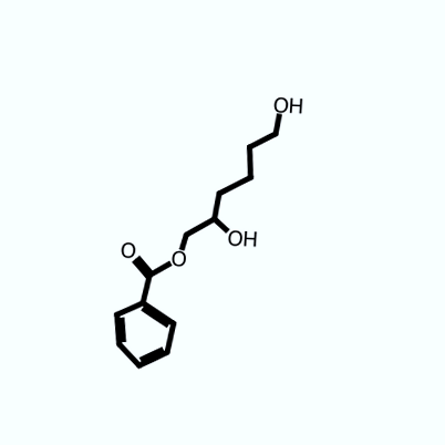 O=C(OCC(O)CCCCO)c1ccccc1